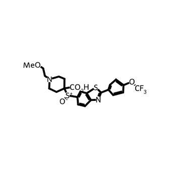 COCCN1CCC(C(=O)O)([S+]([O-])c2ccc3nc(-c4ccc(OC(F)(F)F)cc4)sc3c2)CC1